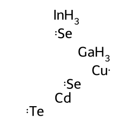 [Cd].[Cu].[GaH3].[InH3].[Se].[Se].[Te]